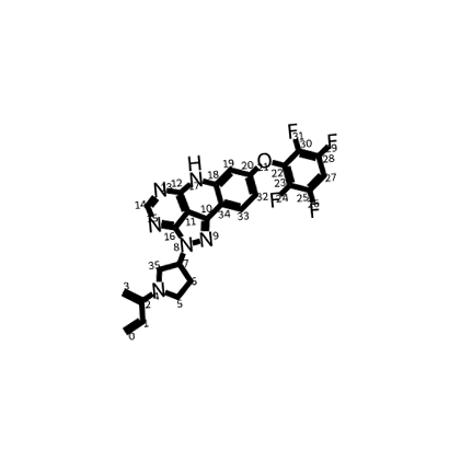 C=CC(=C)N1CCC(n2nc3c4c(ncnc42)Nc2cc(Oc4c(F)c(F)cc(F)c4F)ccc2-3)C1